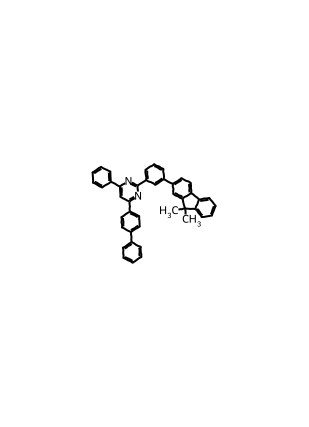 CC1(C)c2ccccc2-c2ccc(-c3cccc(-c4nc(-c5ccccc5)cc(-c5ccc(-c6ccccc6)cc5)n4)c3)cc21